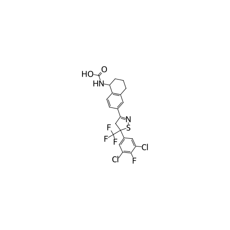 O=C(O)NC1CCCc2cc(C3=NSC(c4cc(Cl)c(F)c(Cl)c4)(C(F)(F)F)C3)ccc21